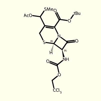 CSC(OC(C)=O)C1=C(C(=O)OC(C)(C)C)N2C(=O)[C@@H](NC(=O)OCC(Cl)(Cl)Cl)[C@H]2SC1